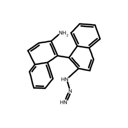 N=NNc1ccc2ccccc2c1-c1c(N)ccc2ccccc12